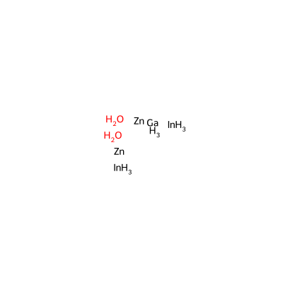 O.O.[GaH3].[InH3].[InH3].[Zn].[Zn]